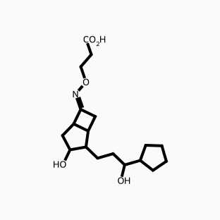 O=C(O)CCON=C1CC2C1CC(O)C2CCC(O)C1CCCC1